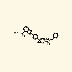 COCC12CN(C(=O)OCc3ccccc3)C=CC1(c1ccc(-n3cc4cccc(C(=O)OC)c4n3)cc1)C2